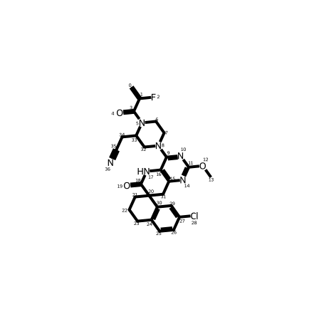 C=C(F)C(=O)N1CCN(c2nc(OC)nc3c2NC(=O)C2(CCCc4ccc(Cl)cc42)C3)CC1CC#N